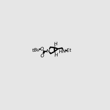 CCNCC1[C@H]2CN(C(=O)OC(C)(C)C)C[C@@H]12